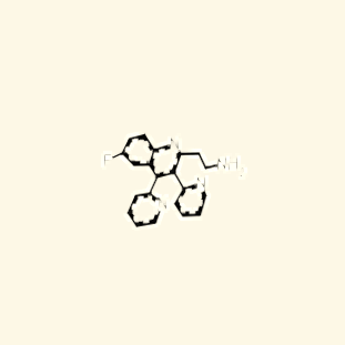 NCCc1nc2ccc(F)cc2c(-c2ccccn2)c1-c1ccccn1